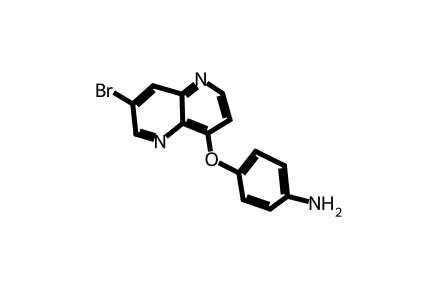 Nc1ccc(Oc2ccnc3cc(Br)cnc23)cc1